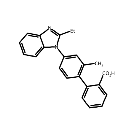 CCc1nc2ccccc2n1-c1ccc(-c2ccccc2C(=O)O)c(C)c1